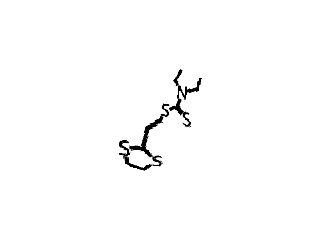 CCN(CC)C(=S)SCCC1SCCS1